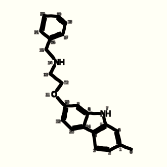 Cc1ccc2c(c1)[nH]c1cc(OCCNCc3ccccc3)ccc12